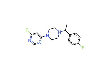 CC(c1ccc(F)cc1)N1CCN(c2cc(F)ncn2)CC1